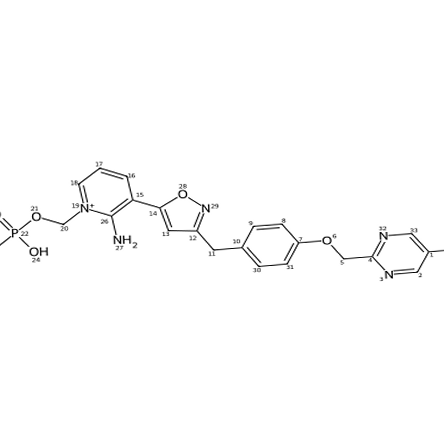 Cc1cnc(COc2ccc(Cc3cc(-c4ccc[n+](COP(=O)(O)O)c4N)on3)cc2)nc1